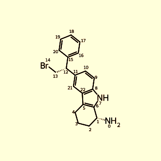 N[C@@H]1CCCc2c1[nH]c1ccc([C@H](CBr)c3ccccc3)cc21